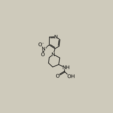 O=C(O)NC1CCCN(c2ccncc2[N+](=O)[O-])C1